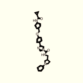 O=C(Nc1ccc(COc2ccc(-c3cn(C(=O)NCC4CCN(c5ccccc5)C4)cn3)cc2)cc1)C1CC1